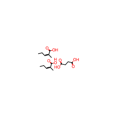 CCC=C(C)C(=O)O.CCC=C(C)C(=O)O.O=C(O)CCC(=O)O